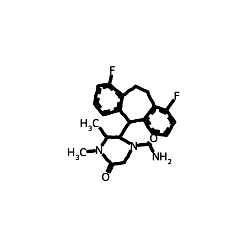 CC1C(C2c3cccc(F)c3CCc3c(F)cccc32)N(C(N)=O)CC(=O)N1C